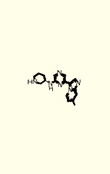 Cc1ccn2c(-c3cncc(N[C@@H]4CCCNC4)n3)cnc2c1